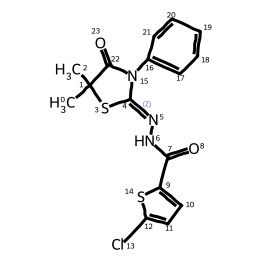 CC1(C)S/C(=N\NC(=O)c2ccc(Cl)s2)N(c2ccccc2)C1=O